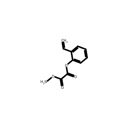 C=Cc1ccccc1OC(=O)C(=O)O[SiH3]